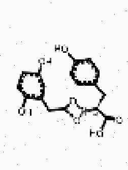 O=C(O)[C@H](Cc1ccc(O)cc1)N1OC(Cc2cc(O)ccc2O)O1